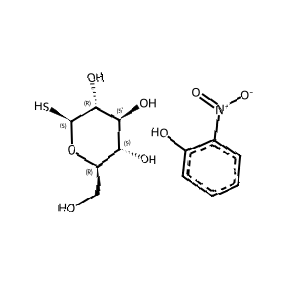 O=[N+]([O-])c1ccccc1O.OC[C@H]1O[C@@H](S)[C@H](O)[C@@H](O)[C@@H]1O